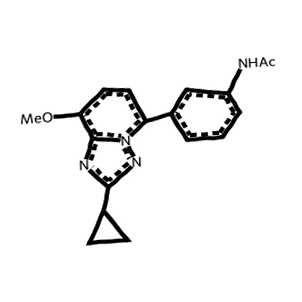 COc1ccc(-c2cccc(NC(C)=O)c2)n2nc(C3CC3)nc12